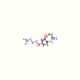 CN(C)CCCOc1ccc2c(n1)OCCNC2